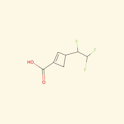 O=C(O)C1=CC(C(F)C(F)F)C1